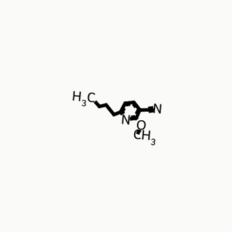 CCCCc1ccc(C#N)c(OC)n1